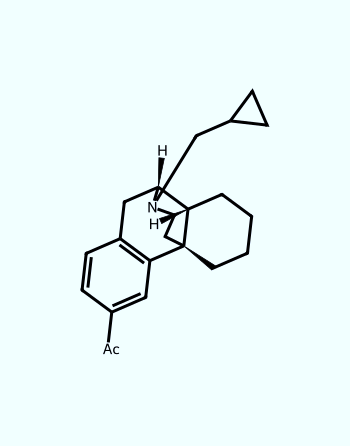 CC(=O)c1ccc2c(c1)[C@@]13CCCC[C@H]1[C@@H](C2)N(CC1CC1)CC3